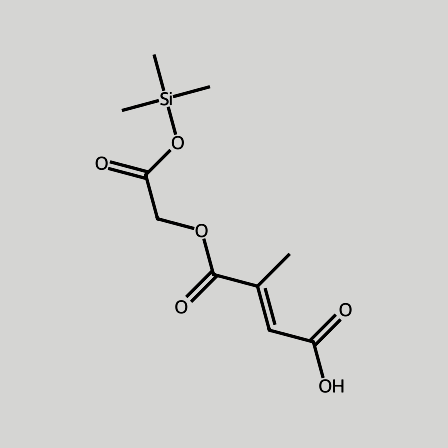 C/C(=C\C(=O)O)C(=O)OCC(=O)O[Si](C)(C)C